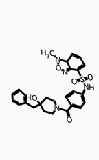 CN1ON=C2C(S(=O)(=O)Nc3ccc(C(=O)N4CCC(O)(Cc5ccccc5)CC4)cc3)=CC=CC21